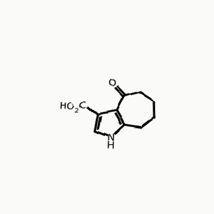 O=C(O)c1c[nH]c2c1C(=O)CCCC2